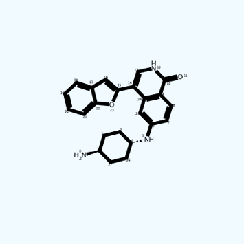 N[C@H]1CC[C@H](Nc2ccc3c(=O)[nH]cc(-c4cc5ccccc5o4)c3c2)CC1